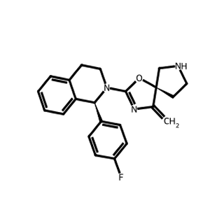 C=C1N=C(N2CCc3ccccc3[C@@H]2c2ccc(F)cc2)O[C@@]12CCNC2